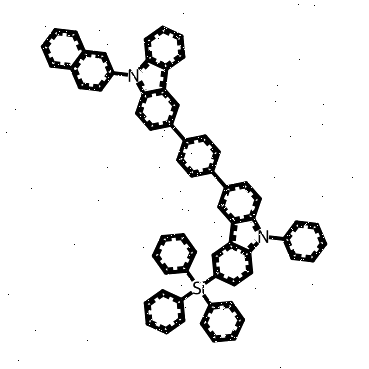 c1ccc(-n2c3ccc(-c4ccc(-c5ccc6c(c5)c5ccccc5n6-c5ccc6ccccc6c5)cc4)cc3c3cc([Si](c4ccccc4)(c4ccccc4)c4ccccc4)ccc32)cc1